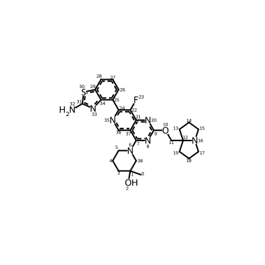 CC1(O)CCCN(c2nc(OCC34CCCN3CCC4)nc3c(F)c(-c4cccc5sc(N)nc45)ncc23)C1